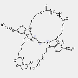 CC1(CCCCCC(=O)ON2C(=O)CCC2=O)C2=[N+](CCCCCC(=O)NCCNC(=O)CCCCC3(C)/C(=C/C=C/C=C/2)N(CCCSOOO)c2ccc(S(=O)(=O)O)cc23)c2ccc(SOOO)cc21